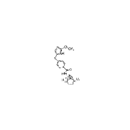 COc1ncc(Sc2ccc(C(=O)N[C@@H]3C[C@H]4CC[C@@H]3N4)cc2)[nH]1